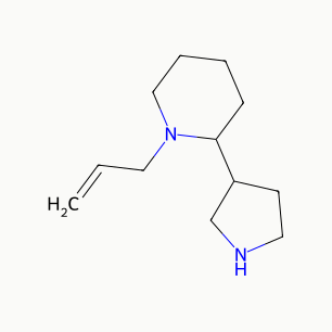 C=CCN1CCCCC1C1CCNC1